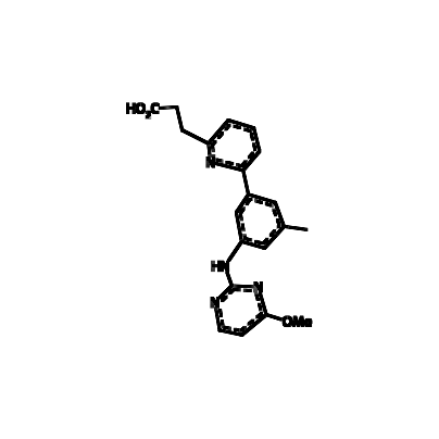 COc1ccnc(Nc2cc(C)cc(-c3cccc(CCC(=O)O)n3)c2)n1